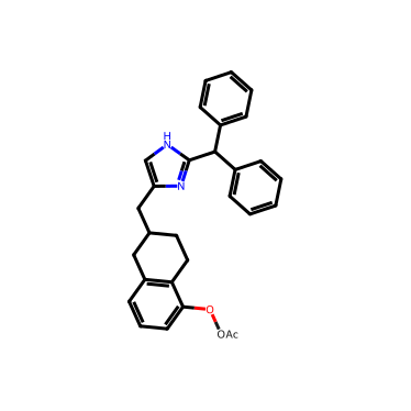 CC(=O)OOc1cccc2c1CCC(Cc1c[nH]c(C(c3ccccc3)c3ccccc3)n1)C2